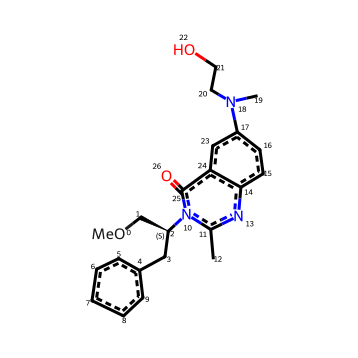 COC[C@H](Cc1ccccc1)n1c(C)nc2ccc(N(C)CCO)cc2c1=O